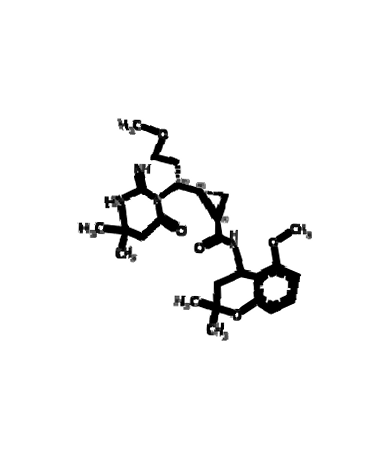 COCC[C@H]([C@@H]1C[C@H]1C(=O)NC1CC(C)(C)Oc2cccc(OC)c21)N1C(=N)NC(C)(C)CC1=O